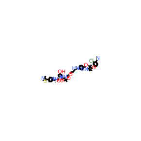 Cc1ncsc1-c1ccc([C@@H](C)NC(=O)[C@@H]2C[C@@H](O)CN2C(=O)[C@@H](NC(=O)COCCCCNc2ccc(C(=O)N[C@H]3C(C)(C)[C@H](Oc4ccc(C#N)c(Cl)c4)C3(C)C)cc2)C(C)(C)C)cc1